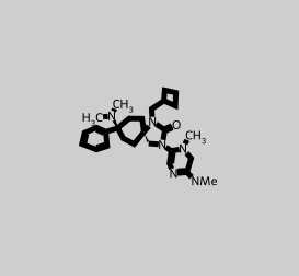 CNC1=NC=C(N2C[C@]3(CC[C@](c4ccccc4)(N(C)C)CC3)N(CC3CCC3)C2=O)N(C)C1